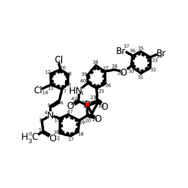 CC(=O)CN(C=Cc1ccc(Cl)cc1Cl)c1cccc(C(=O)OC(=O)c2cc(COc3ccc(Br)cc3Br)ccc2NC(=O)C2CC2)c1